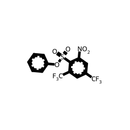 O=[N+]([O-])c1cc(C(F)(F)F)cc(C(F)(F)F)c1S(=O)(=O)Oc1ccccc1